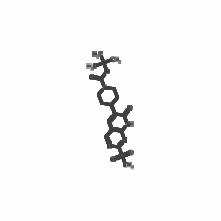 CC(C)(C)OC(=O)N1CCC(c2cc3cnc(S(C)(=O)=O)nc3[nH]c2=O)CC1